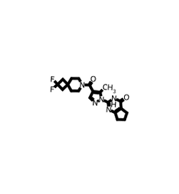 Cc1c(C(=O)N2CCC3(CC2)CC(F)(F)C3)cnn1-c1nc2c(c(=O)[nH]1)CCC2